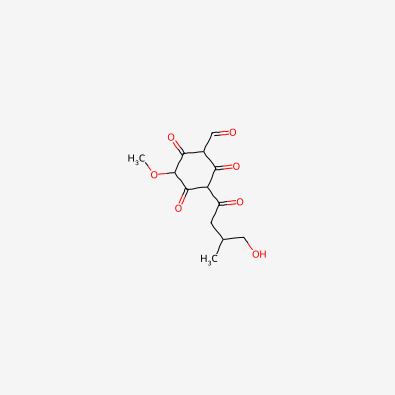 COC1C(=O)C(C=O)C(=O)C(C(=O)CC(C)CO)C1=O